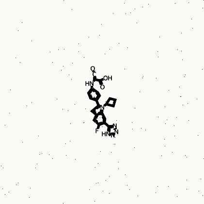 O=C=C(Nc1ccc(-c2cc3cc(F)c(-c4nnn[nH]4)cc3n2C2CCC2)cc1)C(=O)O